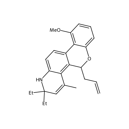 C=CCC1Oc2cccc(OC)c2-c2ccc3c(c21)C(C)=CC(CC)(CC)N3